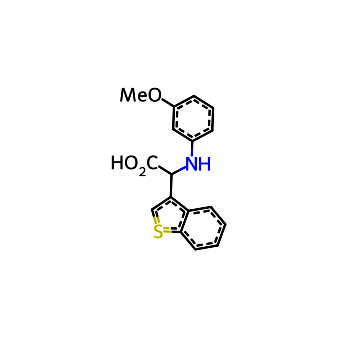 COc1cccc(NC(C(=O)O)c2csc3ccccc23)c1